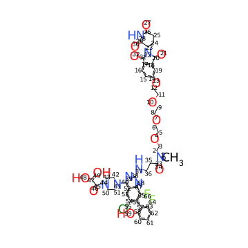 CN(CCOCCOCCOCCOc1ccc2c(c1)C(=O)N(C1CCC(=O)NC1=O)C2=O)C(=O)CCNc1nc(N2CCN(C(=O)C(O)O)CC2)c2cc(Cl)c(-c3c(O)cccc3F)c(F)c2n1